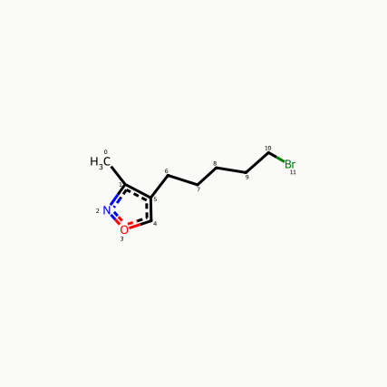 Cc1nocc1CCCCCBr